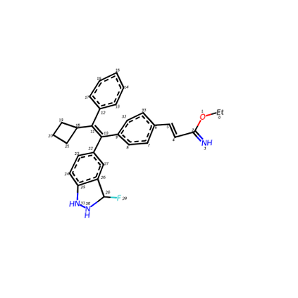 CCOC(=N)/C=C/c1ccc(/C(=C(\c2ccccc2)C2CCC2)c2ccc3c(c2)C(F)NN3)cc1